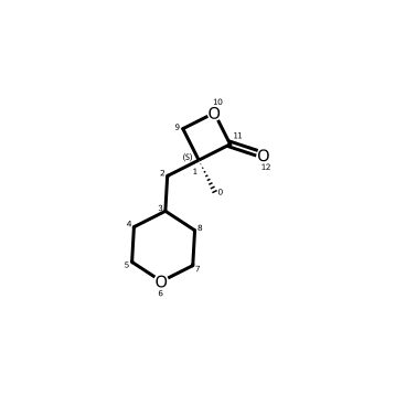 C[C@]1(CC2CCOCC2)COC1=O